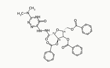 CN(C)c1nnc(NNC(=O)[C@@H]2O[C@H](COC(=O)c3ccccc3)C(OC(=O)c3ccccc3)[C@H]2OC(=O)c2ccccc2)c(=O)[nH]1